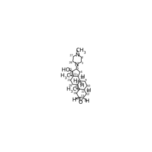 CN1CCN([C@H]2C[C@H]3[C@@H]4CC[C@H]5C[C@@H]6O[C@@H]6C[C@]5(C)[C@H]4CC[C@]3(C)[C@H]2O)CC1